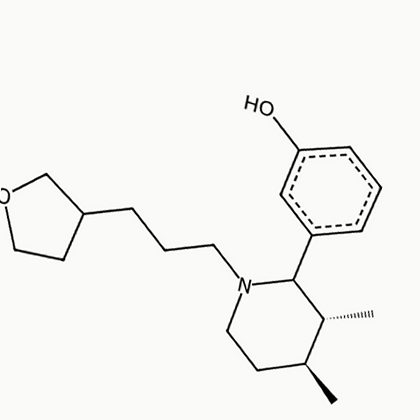 C[C@H]1CCN(CCCC2CCOC2)C(c2cccc(O)c2)[C@@H]1C